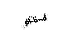 COc1ccc2nccc([C@@H](F)CC[C@@H]3CCN(CCCCc4cccc(C(F)(F)F)c4)C[C@@H]3CC(=O)O)c2c1